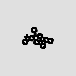 CC1(C)c2ccccc2-c2ccc(N(c3ccccc3)c3ccc4c(c3)C3(c5ccccc5-c5ccccc53)c3cc5ccccc5cc3-4)cc21